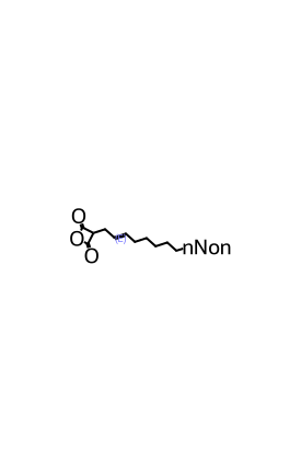 CCCCCCCCCCCCCC/C=C/CC1C(=O)OC1=O